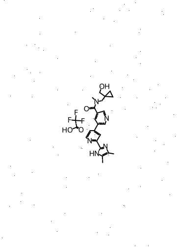 Cc1nc(-c2cc(-c3cncc(C(=O)N(C)CC4(CO)CC4)c3)ccn2)[nH]c1C.O=C(O)C(F)(F)F